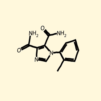 Cc1ccccc1-n1cnc(C(N)=O)c1C(N)=O